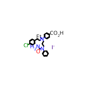 CC[N+](CCCN(C(N)=O)c1ccccc1)(CCc1ccc(Cl)cc1)c1ccc(C(=O)O)cc1.[I-]